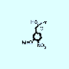 COc1cc(CP(=O)(O)C(C)C)ccc1[N+](=O)[O-]